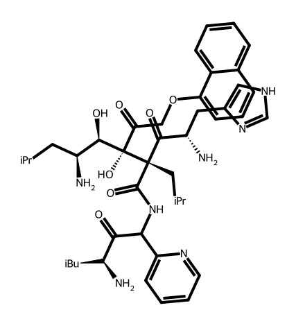 CC[C@H](C)[C@H](N)C(=O)C(NC(=O)[C@@](CC(C)C)(C(=O)[C@@H](N)Cc1c[nH]cn1)[C@](O)(C(=O)COc1cccc2ccccc12)[C@H](O)[C@@H](N)CC(C)C)c1ccccn1